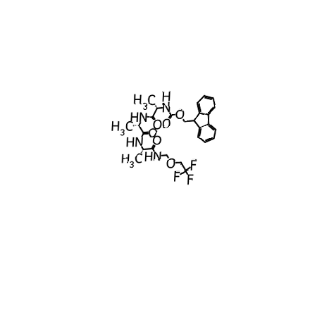 C[C@H](NC(=O)OCC1c2ccccc2-c2ccccc21)C(=O)N[C@@H](C)C(=O)N[C@@H](C)C(=O)NCOCC(F)(F)F